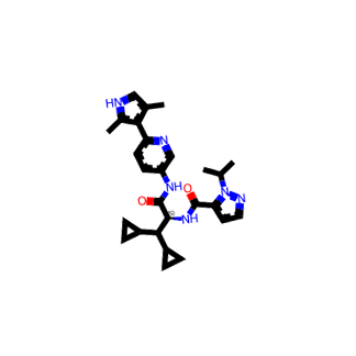 Cc1c[nH]c(C)c1-c1ccc(NC(=O)[C@@H](NC(=O)c2ccnn2C(C)C)C(C2CC2)C2CC2)cn1